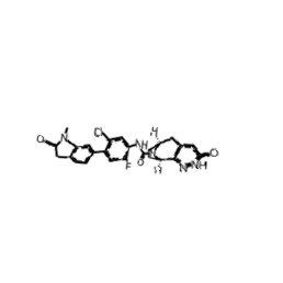 CN1C(=O)Cc2ccc(-c3cc(F)c(NC(=O)N4[C@H]5CC[C@@H]4c4n[nH]c(=O)cc4C5)cc3Cl)cc21